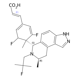 C[C@@H]1Cc2c(ccc3[nH]ncc23)[C@@H](C2(C)C(F)=CC(/C=C/C(=O)O)=CC2F)N1CC(C)(C)F